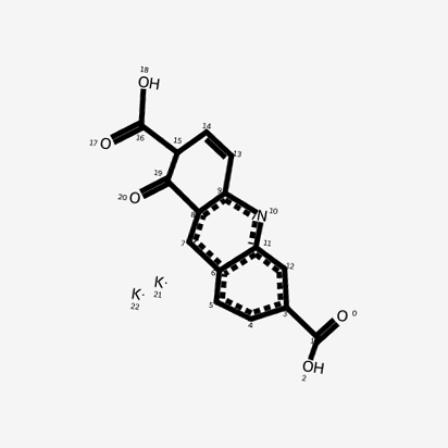 O=C(O)c1ccc2cc3c(nc2c1)C=CC(C(=O)O)C3=O.[K].[K]